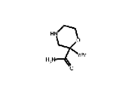 CCCC1(C(N)=O)CNCCO1